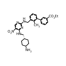 CCOC(=O)c1cccc(-c2cccc(CNc3ncc([N+](=O)[O-])c(NC[C@H]4CC[C@H](N)CC4)n3)c2C)c1